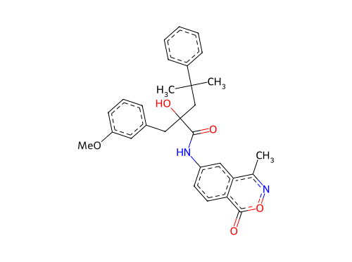 COc1cccc(CC(O)(CC(C)(C)c2ccccc2)C(=O)Nc2ccc3c(=O)onc(C)c3c2)c1